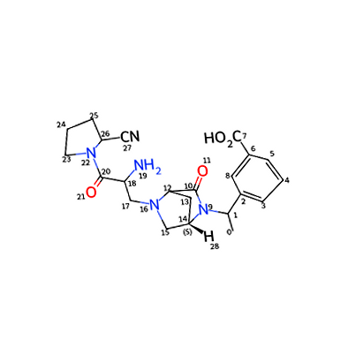 CC(c1cccc(C(=O)O)c1)N1C(=O)C2C[C@H]1CN2CC(N)C(=O)N1CCCC1C#N